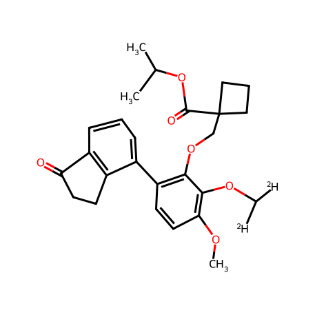 [2H]C([2H])Oc1c(OC)ccc(-c2cccc3c2CCC3=O)c1OCC1(C(=O)OC(C)C)CCC1